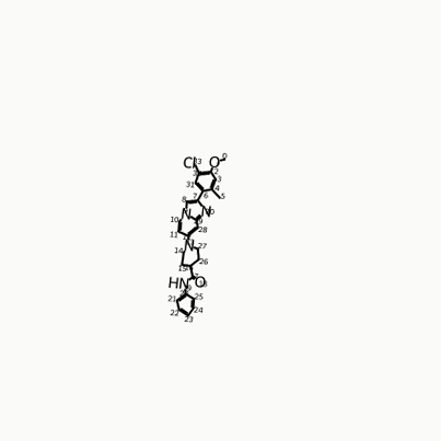 COc1cc(C)c(-c2cn3ccc(N4CCC(C(=O)Nc5ccccc5)CC4)cc3n2)cc1Cl